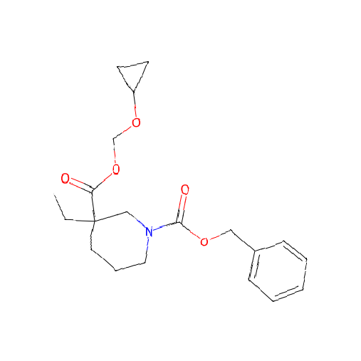 CCC1(C(=O)OCOC2CC2)CCCN(C(=O)OCc2ccccc2)C1